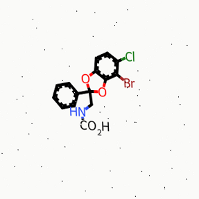 O=C(O)NCC1(c2ccccc2)Oc2ccc(Cl)c(Br)c2O1